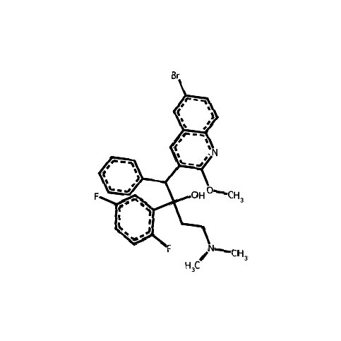 COc1nc2ccc(Br)cc2cc1C(c1ccccc1)C(O)(CCN(C)C)c1cc(F)ccc1F